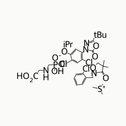 CC(C)Oc1cc(-n2nc(C(C)(C)C)oc2=O)c(Cl)cc1Cl.CC1(C)CON(Cc2ccccc2Cl)C1=O.C[S+](C)C.O=C(O)CNCP(=O)([O-])O